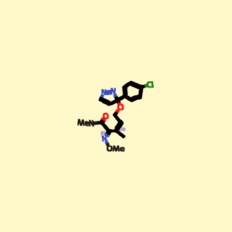 CNC(=O)C(=N/OC)/C(C)=C\COC1(c2ccc(Cl)cc2)C=CN=N1